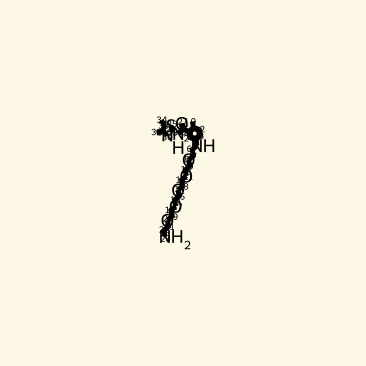 Cc1ccc(NCCOCCOCCOCCOCCOCCN)cc1C(=O)NC1=NC(C)C(C)S1